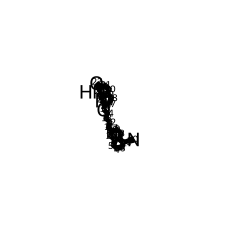 N#Cc1cccc2c1CCN(CCCCOc1ccc3ccc(=O)[nH]c3n1)C2